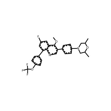 COc1c(-c2ccc(N3CC(C)OC(C)C3)cc2)cnc2c(-c3ccc(OC(F)(F)F)cc3)cc(F)cc12